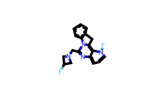 FC1CN(CC2=NC3=CC=CN(F)C3=C3Cc4ccccc4N23)C1